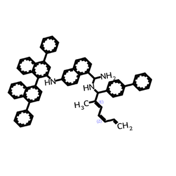 C=C/C=C\C=C(/C)C(NC(N)c1cccc2cc(Nc3cc(-c4ccccc4)c4ccccc4c3-c3ccc(-c4ccccc4)c4ccccc34)ccc12)c1ccc(-c2ccccc2)cc1